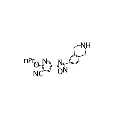 CCCOc1ncc(-c2nc(-c3ccc4c(c3)CCNCC4)no2)cc1C#N